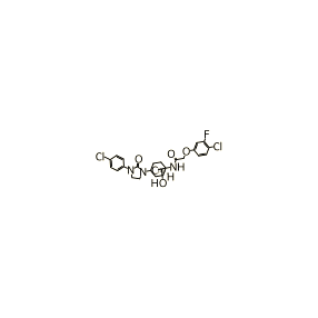 O=C(COc1ccc(Cl)c(F)c1)NC12CCC(N3CCN(c4ccc(Cl)cc4)C3=O)(CC1)C[C@@H]2O